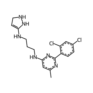 Cc1cc(NCCCNC2=CCNN2)nc(-c2ccc(Cl)cc2Cl)n1